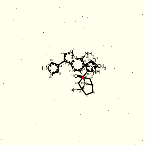 CS(=O)(=O)c1c([C@@H]2CC3CC[C@H](C2)N3C(=O)c2ccn[nH]2)nc2c(-c3cn[nH]c3)cnn2c1N